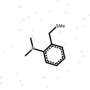 CSCc1ccccc1N(C)C